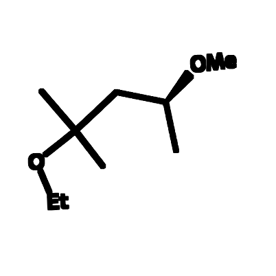 CCOC(C)(C)C[C@H](C)OC